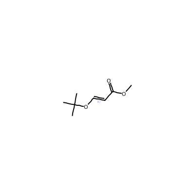 COC(=O)/C=C/OC(C)(C)C